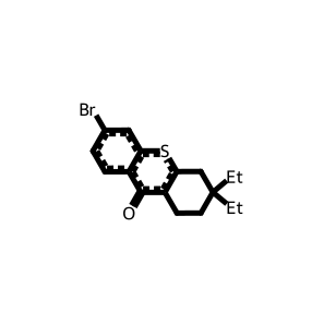 CCC1(CC)CCc2c(sc3cc(Br)ccc3c2=O)C1